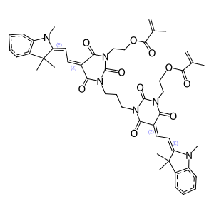 C=C(C)C(=O)OCCN1C(=O)/C(=C\C=C2\N(C)c3ccccc3C2(C)C)C(=O)N(CCCN2C(=O)/C(=C/C=C3/N(C)c4ccccc4C3(C)C)C(=O)N(CCOC(=O)C(=C)C)C2=O)C1=O